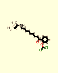 CC=C(C)[SiH2]CCCCCCCCC(=O)c1ccccc1OC(Cl)Cl